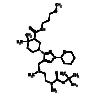 COCCCNC(=O)[C@H]1C[C@H](c2nn(C3CCCCO3)cc2CN(C)CCN(C)C(=O)OC(C)(C)C)CCC1(C)C